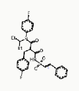 CCC(CC)N(C(=O)C(Cc1ccc(F)cc1)C(=O)NS(=O)(=O)/C=C/c1ccccc1)c1ccc(F)cc1